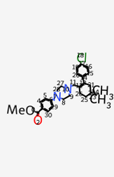 COC(=O)c1ccc(N2CCN(CC3=C(c4ccc(Cl)cc4)CC(C)(C)CC3)CC2)cc1